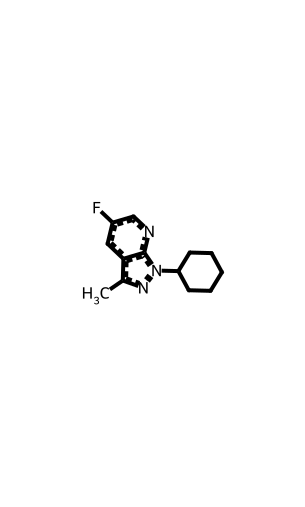 Cc1nn(C2CCCCC2)c2ncc(F)cc12